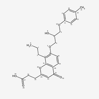 CCCc1c(OCC(O)COc2ccc(C)cc2)ccc2c(=O)cc(CCC(=O)O)oc12